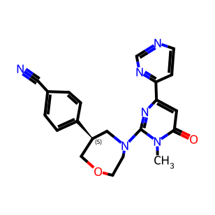 Cn1c(N2CCOC[C@@H](c3ccc(C#N)cc3)C2)nc(-c2ccncn2)cc1=O